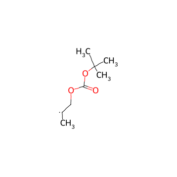 C[CH]COC(=O)OC(C)(C)C